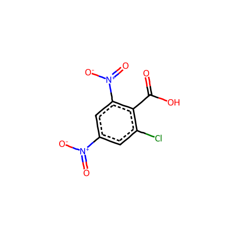 O=C(O)c1c(Cl)cc([N+](=O)[O-])cc1[N+](=O)[O-]